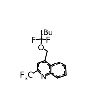 CC(C)(C)C(F)(F)OCc1cc(C(F)(F)F)nc2ccccc12